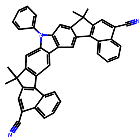 CC1(C)c2cc3c(cc2-c2c1cc(C#N)c1ccccc21)c1cc2c(cc1n3-c1ccccc1)C(C)(C)c1cc(C#N)c3ccccc3c1-2